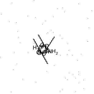 CCCCCCCCCCCCN(C=O)CC(=O)N(CCCCCCCCCCCC)CC(=O)N(CCCN)CC(=O)N(CCCCCCCCCCCC)CC(=O)N(CCCCCCCCCCCC)CC(N)=O